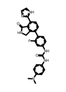 CN(C)c1ccc(NC(=O)Nc2ccc(-c3ccc(-c4ncc[nH]4)c4c3CNC4=O)c(F)c2)cc1